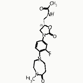 CC(=O)NC[C@H]1CN(c2ccc(N3CCC(=O)N(C)CC3)c(F)c2)C(=O)O1